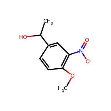 COc1ccc(C(C)O)cc1[N+](=O)[O-]